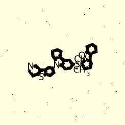 C[Si](C)(c1ccc2c(c1)c1ccccc1n2-c1ccc2sc3ccncc3c2c1)c1cccc2c1oc1ccccc12